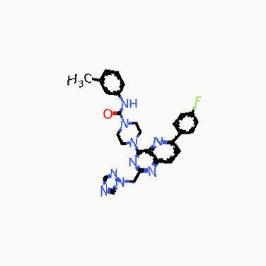 Cc1cccc(NC(=O)N2CCN(c3nc(Cn4cncn4)nc4ccc(-c5ccc(F)cc5)nc34)CC2)c1